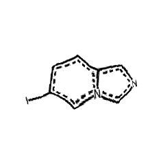 Ic1ccc2cncn2c1